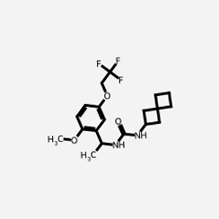 COc1ccc(OCC(F)(F)F)cc1C(C)NC(=O)NC1CC2(CCC2)C1